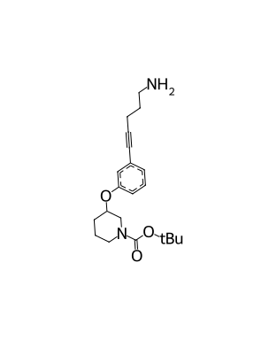 CC(C)(C)OC(=O)N1CCCC(Oc2cccc(C#CCCCN)c2)C1